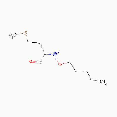 CCCCCON[C@H]([C]=O)CCSC